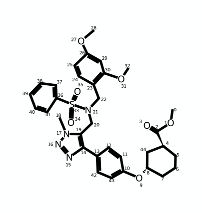 COC(=O)[C@H]1CCC[C@H](Oc2ccc(-c3nnn(C)c3CN(Cc3ccc(OC)cc3OC)S(=O)(=O)c3ccccc3)cc2)C1